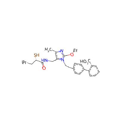 CCOc1nc(C)c(CNC(=O)[C@@H](S)CC(C)C)n1Cc1ccc(-c2ccccc2C(=O)O)cc1